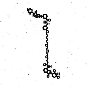 C[C@H](NC(=O)c1cccc(NCc2nnc(-c3ccncn3)n2C)c1)c1cccc(OCCCCCCOCCOCCOCCCC(=O)Nc2cccc3c2CN(C2CCC(=O)NC2=O)C3=O)c1